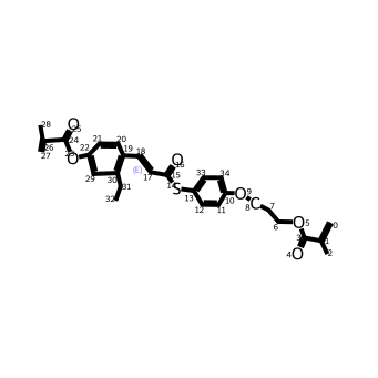 C=C(C)C(=O)OCCCOc1ccc(SC(=O)/C=C/c2ccc(OC(=O)C(=C)C)cc2CC)cc1